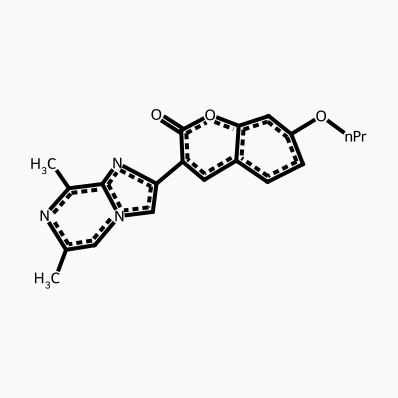 CCCOc1ccc2cc(-c3cn4cc(C)nc(C)c4n3)c(=O)oc2c1